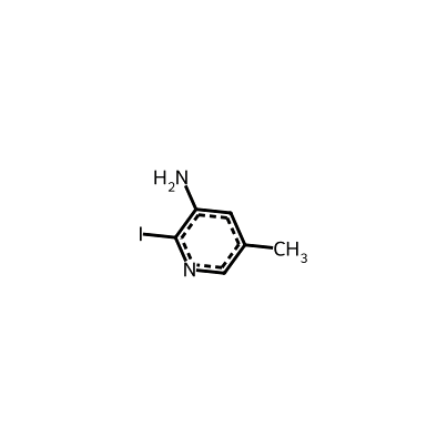 Cc1cnc(I)c(N)c1